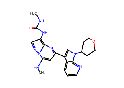 CNC(=O)Nc1cnn2c(NC)cc(-c3cn(C4CCOCC4)c4ncccc34)nc12